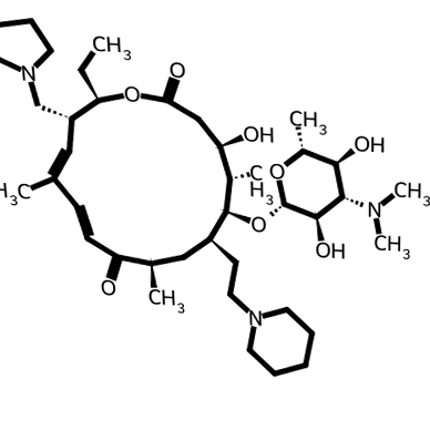 CC[C@H]1OC(=O)C[C@@H](O)[C@H](C)[C@@H](O[C@@H]2O[C@H](C)[C@@H](O)[C@H](N(C)C)[C@H]2O)[C@@H](CCN2CCCCC2)C[C@@H](C)C(=O)/C=C/C(C)=C/[C@@H]1CN1CCCC1